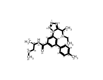 CCOC(C)c1nnnn1-c1cc(C(=O)N[C@H](C)COC)cc(-c2ccc(C)cc2)c1